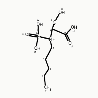 CCCCCN([C@@H](CO)C(=O)O)P(=O)(O)O